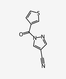 N#Cc1cnn(C(=O)c2ccsc2)c1